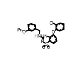 CC(C)Oc1cccc(CNC2=NS(=O)(=O)c3cccc(Oc4ccccc4Cl)c3N2)c1